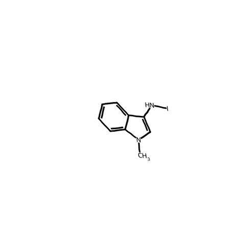 Cn1cc(NI)c2ccccc21